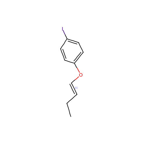 CC/C=C/Oc1ccc(I)cc1